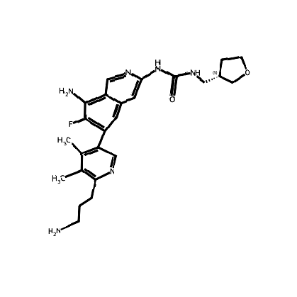 Cc1c(-c2cc3cc(NC(=O)NC[C@@H]4CCOC4)ncc3c(N)c2F)cnc(CCCN)c1C